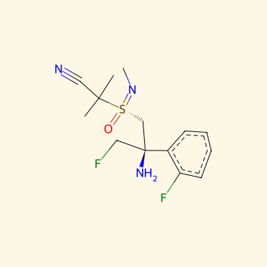 CN=[S@](=O)(C[C@@](N)(CF)c1ccccc1F)C(C)(C)C#N